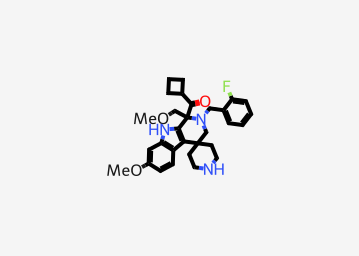 COCC1(C(=O)C2CCC2)c2[nH]c3cc(OC)ccc3c2C2(CCNCC2)CN1Cc1ccccc1F